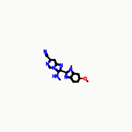 CNc1c(-c2nc3ccc(OC)cc3n2C)nc2cc(C#N)ncn12